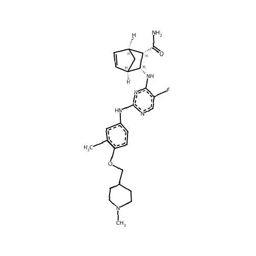 Cc1cc(Nc2ncc(F)c(N[C@H]3[C@@H](C(N)=O)[C@@H]4C=C[C@H]3C4)n2)ccc1OCC1CCN(C)CC1